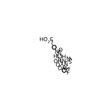 COC(=O)C1=C(CN2CCN3C(=O)N(c4ccc(CCC(=O)O)cc4)C[C@@H]3[C@H]2CO)NC(c2nccs2)=N[C@H]1c1cccc(F)c1C